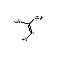 CO/C(=C\O)C(=O)O